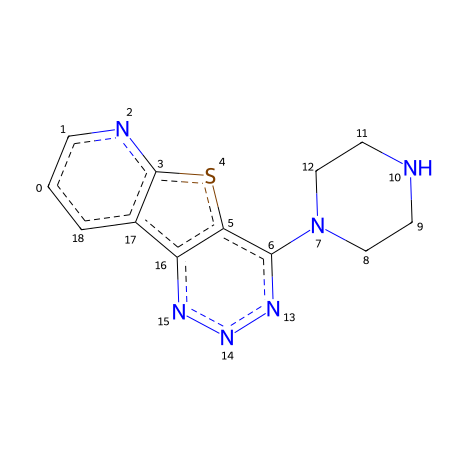 c1cnc2sc3c(N4CCNCC4)nnnc3c2c1